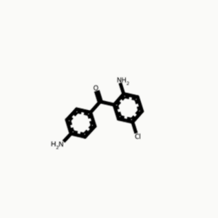 Nc1ccc(C(=O)c2cc(Cl)ccc2N)cc1